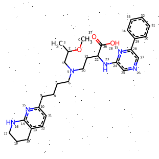 COC(C)CN(CCCCc1ccc2c(n1)NCCC2)CCC(Nc1cncc(-c2ccccc2)n1)C(=O)O